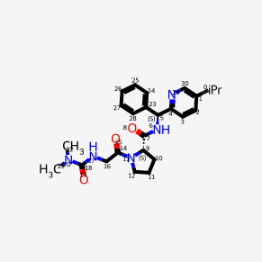 CC(C)c1ccc([C@@H](NC(=O)[C@@H]2CCCN2C(=O)CNC(=O)N(C)C)c2ccccc2)nc1